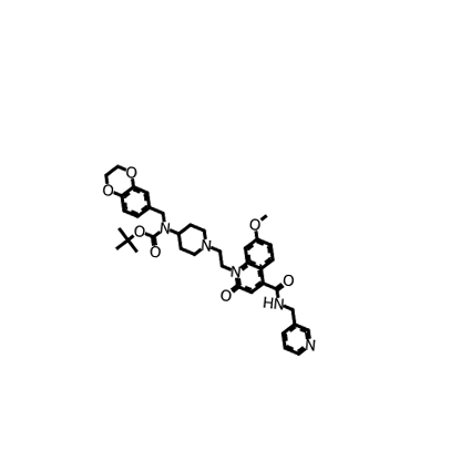 COc1ccc2c(C(=O)NCc3cccnc3)cc(=O)n(CCN3CCC(N(Cc4ccc5c(c4)OCCO5)C(=O)OC(C)(C)C)CC3)c2c1